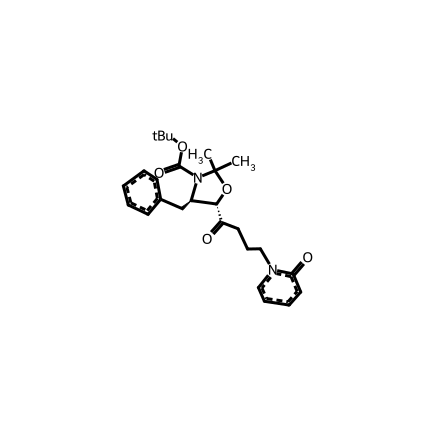 CC(C)(C)OC(=O)N1[C@H](Cc2ccccc2)[C@@H](C(=O)CCCn2ccccc2=O)OC1(C)C